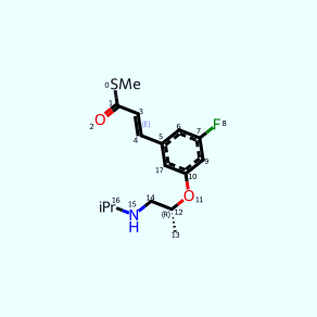 CSC(=O)/C=C/c1cc(F)cc(O[C@H](C)CNC(C)C)c1